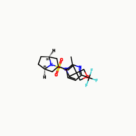 Cc1nc(C(F)(F)F)ccc1S(=O)(=O)N1[C@@H]2CC[C@H]1CC(N1CC3(COC3)C1)C2